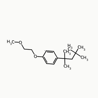 COCCOc1[c]cc(C(C)(C)CC(C)(C)C)cc1